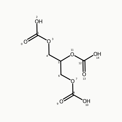 O=C(O)OCC(COC(=O)O)OC(=O)O